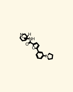 O=C(N[C@H]1CN2CCC1CC2)c1ccc(-c2cccc(N3CCCC3)c2)o1